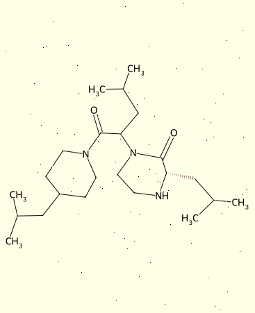 CC(C)CC1CCN(C(=O)C(CC(C)C)N2CCN[C@@H](CC(C)C)C2=O)CC1